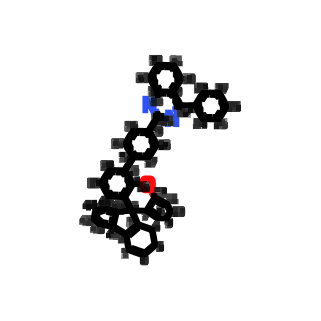 C1=CC2=C(CC1)C1(C3=CCCC=C3Oc3c(-c4ccc(-c5nc(-c6ccccc6)c6ccccc6n5)cc4)cccc31)c1ccccc12